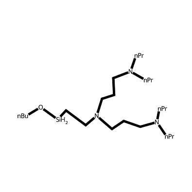 CCCCO[SiH2]CCN(CCCN(CCC)CCC)CCCN(CCC)CCC